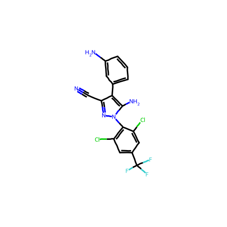 N#Cc1nn(-c2c(Cl)cc(C(F)(F)F)cc2Cl)c(N)c1-c1cccc(N)c1